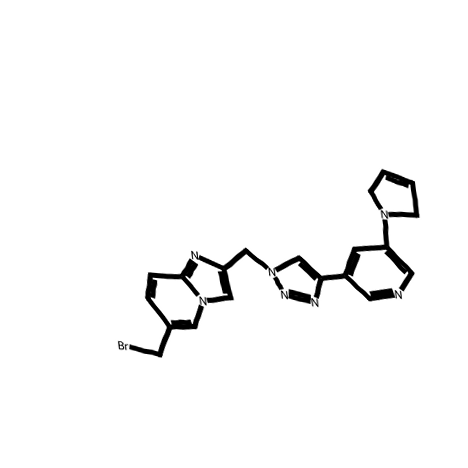 BrCc1ccc2nc(Cn3cc(-c4cncc(N5CC=CC5)c4)nn3)cn2c1